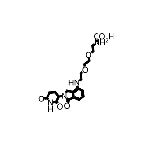 O=C(O)NCCOCCOCCNc1cccc2c1CN(C1CCC(=O)NC1=O)C2=O